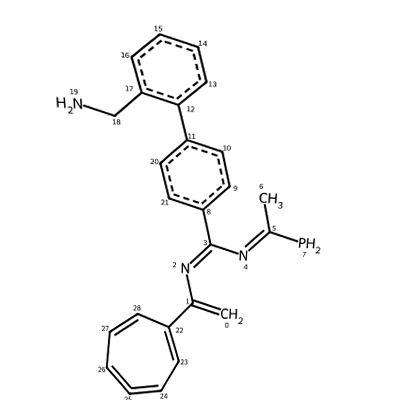 C=C(/N=C(\N=C(/C)P)c1ccc(-c2ccccc2CN)cc1)C1=CC=C=CC=C1